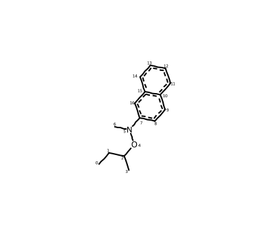 CCC(C)ON(C)c1ccc2ccccc2c1